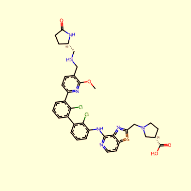 COc1nc(-c2cccc(-c3cccc(Nc4nccc5sc(CN6CC[C@H](C(=O)O)C6)nc45)c3Cl)c2Cl)ccc1CNC[C@@H]1CCC(=O)N1